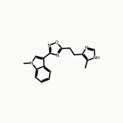 Cc1[nH]cnc1CCc1nc(-c2cn(C)c3ccccc23)no1